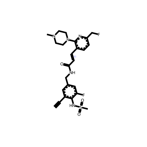 C#Cc1cc(CNC(=O)/C=C/c2ccc(CF)nc2N2CCN(C)CC2)cc(F)c1NS(C)(=O)=O